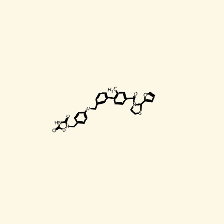 Cc1cc(C(=O)N2CCSC2c2ccco2)ccc1-c1cccc(COc2ccc(Cn3oc(=O)[nH]c3=O)cc2)c1